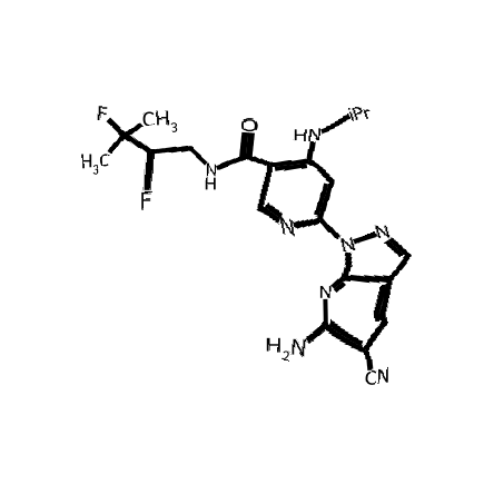 CC(C)Nc1cc(-n2ncc3cc(C#N)c(N)nc32)ncc1C(=O)NCC(F)C(C)(C)F